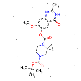 COc1cc2nc(C)[nH]c(=O)c2cc1OC(=O)N1CCN(C(=O)OC(C)(C)C)CC12CC2